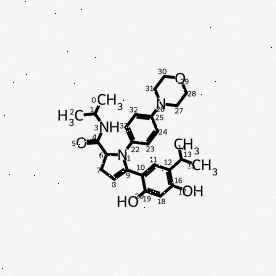 CC(C)NC(=O)C1CC=C(c2cc(C(C)C)c(O)cc2O)N1c1ccc(N2CCOCC2)cc1